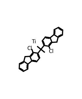 CC(C)(c1ccc2c(c1Cl)Cc1ccccc1-2)c1ccc2c(c1Cl)Cc1ccccc1-2.[Ti]